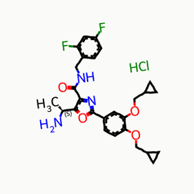 C[C@H](N)c1oc(-c2ccc(OCC3CC3)c(OCC3CC3)c2)nc1C(=O)NCc1ccc(F)cc1F.Cl